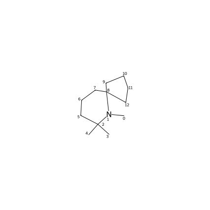 CN1C(C)(C)CCCC12CCCC2